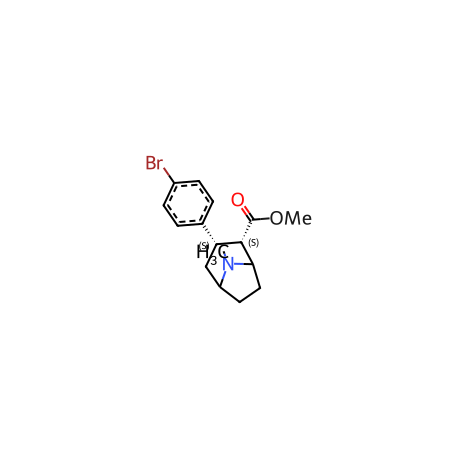 COC(=O)[C@@H]1C2CCC(C[C@@H]1c1ccc(Br)cc1)N2C